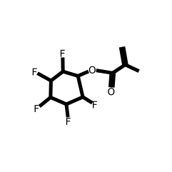 C=C(C)C(=O)OC1C(F)C(F)C(F)C(F)C1F